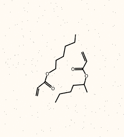 C=CC(=O)OC(C)CCCC.C=CC(=O)OCCCCCC